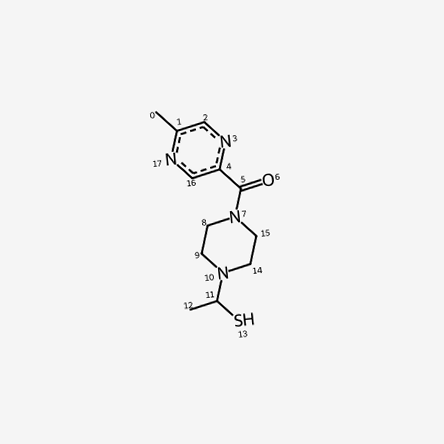 Cc1cnc(C(=O)N2CCN(C(C)S)CC2)cn1